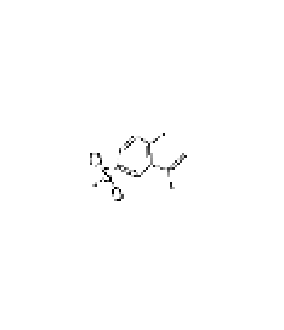 C=C(C)c1cc(S(C)(=O)=O)ccc1C